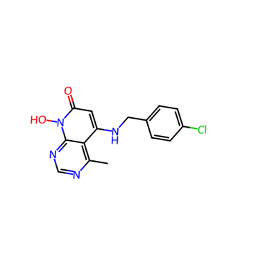 Cc1ncnc2c1c(NCc1ccc(Cl)cc1)cc(=O)n2O